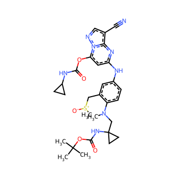 CN(CC1(NC(=O)OC(C)(C)C)CC1)c1ccc(Nc2cc(OC(=O)NC3CC3)n3ncc(C#N)c3n2)cc1C[S+](C)[O-]